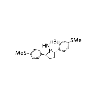 CCCCNP1[C@H](c2ccc(SC)cc2)CC[C@H]1c1ccc(SC)cc1